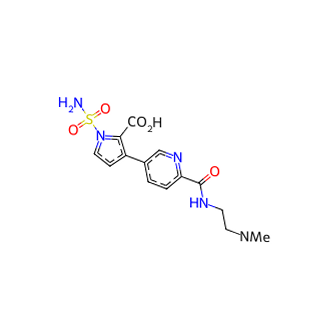 CNCCNC(=O)c1ccc(-c2ccn(S(N)(=O)=O)c2C(=O)O)cn1